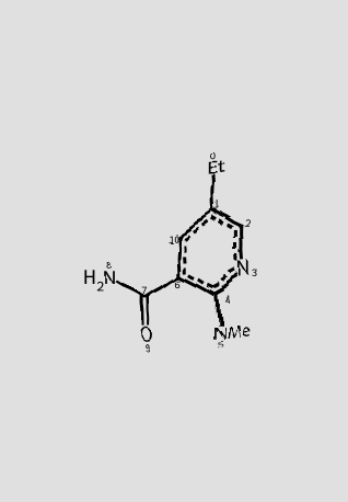 CCc1cnc(NC)c(C(N)=O)c1